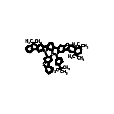 CC(C)(C)c1ccc(N2B3c4cc5c(cc4-n4c6cc7c(cc6c6ccc(c3c64)-c3cc4oc6cc8c(cc6c4cc32)C(C)(C)CCC8(C)C)C(C)(C)c2ccccc2-7)sc2ccccc25)cc1